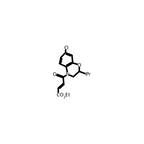 CCOC(=O)C=CC(=O)N1CC(C(C)C)Oc2cc(Cl)ccc21